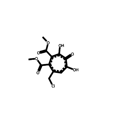 COC(=O)c1c(CCl)cc(O)c(=O)c(O)c1C(=O)OC